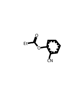 CCC(=O)Oc1ccccc1C#N